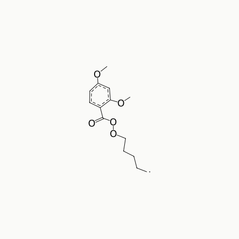 [CH2]CCCCOOC(=O)c1ccc(OC)cc1OC